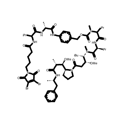 CC[C@@H](C)[C@@H]([C@@H](CC(=O)N1CCC[C@H]1[C@H](OC)[C@@H](C)C(=O)N[C@@H](C)Cc1ccccc1)OC)N(C)C(=O)[C@@H](NC(=O)C(C(C)C)N(C)C(=O)OCc1ccc(NC(=O)[C@@H](C)NC(=O)C(NC(=O)CCCCN2C(=O)C(Br)=C(Br)C2=O)C(C)C)cc1)C(C)C